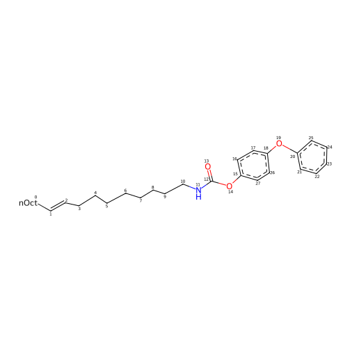 CCCCCCCCC=CCCCCCCCCNC(=O)Oc1ccc(Oc2ccccc2)cc1